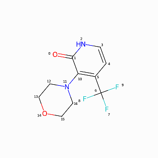 O=c1[nH]ccc(C(F)(F)F)c1N1CCOCC1